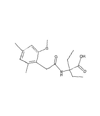 CCC(CC)(NC(=O)Cc1c(C)cc(C)cc1OC)C(=O)O